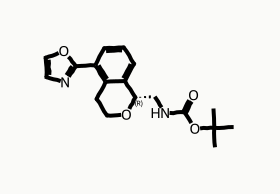 CC(C)(C)OC(=O)NC[C@@H]1OCCc2c(-c3ncco3)cccc21